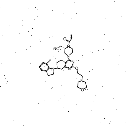 C=CC(=O)N1CCN(c2nc(OCCN3CCOCC3)nc3c2CCC(N2CCc4cccc(C)c42)C3)C[C@@H]1CC#N